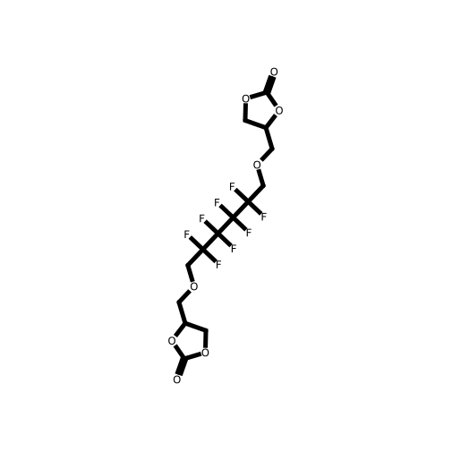 O=C1OCC(COCC(F)(F)C(F)(F)C(F)(F)C(F)(F)COCC2COC(=O)O2)O1